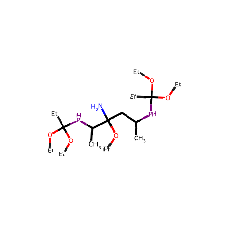 CCOC(CC)(OCC)PC(C)CC(N)(OC(C)C)C(C)PC(CC)(OCC)OCC